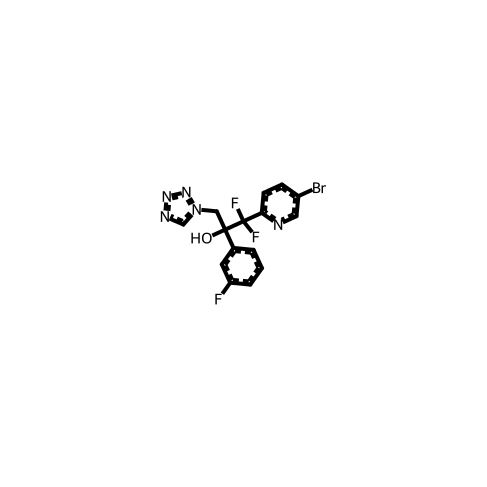 OC(Cn1cnnn1)(c1cccc(F)c1)C(F)(F)c1ccc(Br)cn1